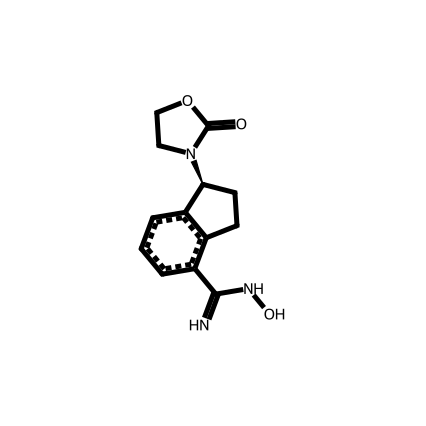 N=C(NO)c1cccc2c1CC[C@@H]2N1CCOC1=O